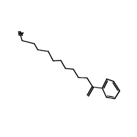 C=C(CCCCCCCCCCBr)c1ccccc1